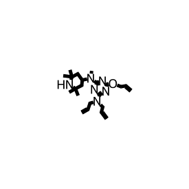 C=CCOc1nc(N(CC=C)CC=C)nc(N(C)C2CC(C)(C)NC(C)(C)C2)n1